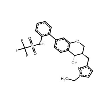 CCn1ccc(C[C@@H]2COc3cc(-c4ccccc4NS(=O)(=O)C(F)(F)F)ccc3[C@H]2O)n1